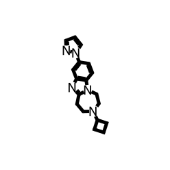 c1cnn(-c2ccc3c(c2)nc2n3CCN(C3CCC3)CC2)c1